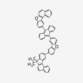 CC1(C)c2ccc(-c3ccc4oc5ccc(-c6c7ccccc7c(-c7ccc8oc9ccc%10ccccc%10c9c8c7)c7ccccc67)cc5c4c3)cc2-c2c1ccc1ccccc21